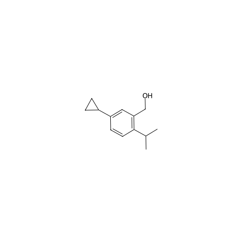 CC(C)c1ccc(C2CC2)cc1CO